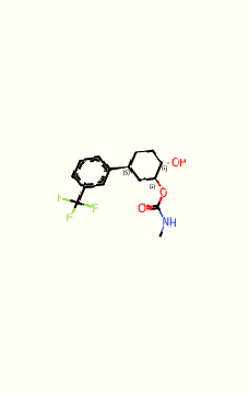 CNC(=O)O[C@H]1C[C@@H](c2cccc(C(F)(F)F)c2)CC[C@@H]1O